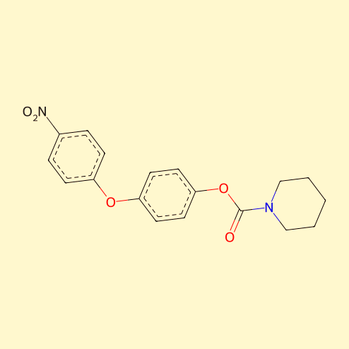 O=C(Oc1ccc(Oc2ccc([N+](=O)[O-])cc2)cc1)N1CCCCC1